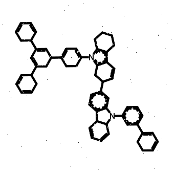 C1=CCCC(c2cccc(N3c4cc(C5C=Cc6c7c(n(C8=CC=C(C9C=C(C%10C=CC=CC%10)C=C(C%10C=CC=CC%10)C9)CC8)c6C5)CCCC7)ccc4C4C=CC=CC43)c2)=C1